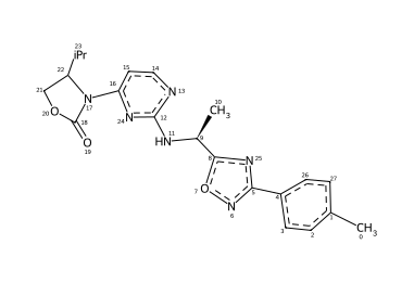 Cc1ccc(-c2noc([C@H](C)Nc3nccc(N4C(=O)OCC4C(C)C)n3)n2)cc1